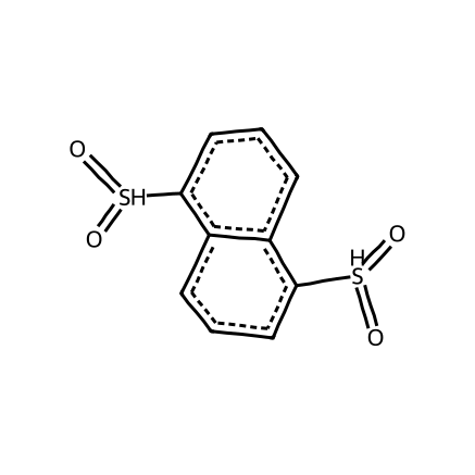 O=[SH](=O)c1cccc2c([SH](=O)=O)cccc12